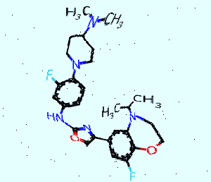 CC(C)N1CCOc2c(F)cc(-c3coc(Nc4ccc(N5CCC(N(C)C)CC5)c(F)c4)n3)cc21